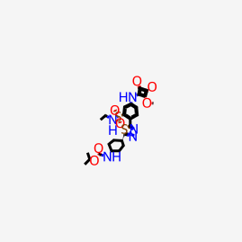 CCNS(=O)(=O)c1cc(Nc2c(OC)c(=O)c2=O)ccc1-c1nnc([C@H]2CC[C@H](NC(=O)OC(C)C)CC2)s1